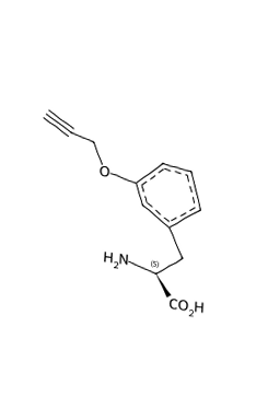 C#CCOc1cccc(C[C@H](N)C(=O)O)c1